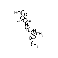 CCCC1OCc2c(CN3CCN(c4cc5c(cc4F)c(=O)c(C(=O)O)cn5C4CC4)CC3)cnc(C)c2O1